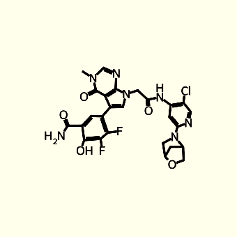 Cn1cnc2c(c(-c3cc(C(N)=O)c(O)c(F)c3F)cn2CC(=O)Nc2cc(N3CC4CC3CO4)ncc2Cl)c1=O